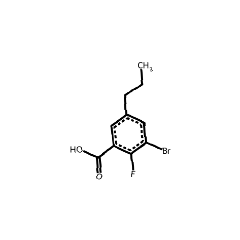 CCCc1cc(Br)c(F)c(C(=O)O)c1